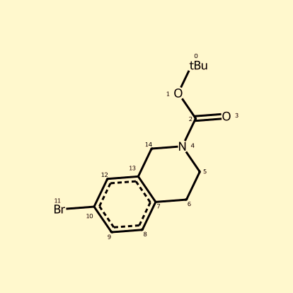 CC(C)(C)OC(=O)N1CCc2ccc(Br)cc2C1